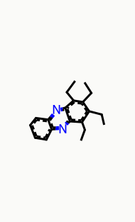 CCc1c(CC)c(CC)c2nc3ccccc3nc2c1CC